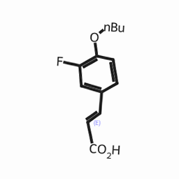 CCCCOc1ccc(/C=C/C(=O)O)cc1F